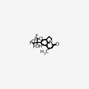 Cc1cc(=O)n2c3c(cc(C(O)(C(F)(F)Cl)C(F)(F)Cl)cc13)CC2